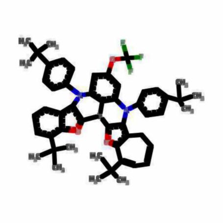 CC(C)(C)C1=CC=CCc2c1oc1c2N(c2ccc(C(C)(C)C)cc2)c2cc(OC(F)(F)F)cc3c2B1c1oc2c(C(C)(C)C)cccc2c1N3c1ccc(C(C)(C)C)cc1